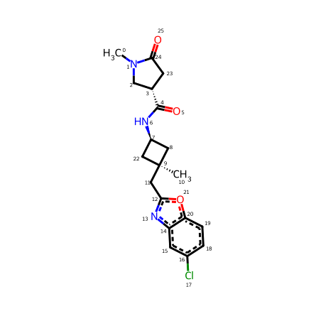 CN1C[C@@H](C(=O)N[C@H]2C[C@@](C)(Cc3nc4cc(Cl)ccc4o3)C2)CC1=O